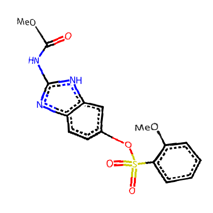 COC(=O)Nc1nc2ccc(OS(=O)(=O)c3ccccc3OC)cc2[nH]1